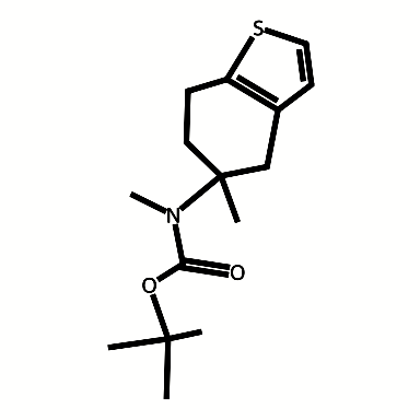 CN(C(=O)OC(C)(C)C)C1(C)CCc2sccc2C1